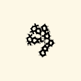 CC1(C)CCC(C)(C)c2cc(N3c4c(sc5cc6c(cc45)C(C)(C)CCC6(C)C)B4c5c(cc6sc7ccccc7c6c53)-c3cccc5c6cc7ccccc7cc6n4c35)ccc21